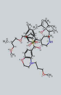 COCCCN1CCOc2ccc(C(O[C@H]3CNC[C@@H](O[Si](C(C)C)(C(C)C)C(C)C)[C@@H]3c3ccc(COC[C@@H](C)COC)cc3)S(=O)(=O)c3ccc(C)cc3)cc21